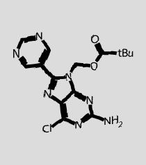 CC(C)(C)C(=O)OCn1c(-c2cncnc2)nc2c(Cl)nc(N)nc21